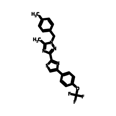 Cc1ccc(Cn2nc(-c3nc(-c4ccc(OC(F)(F)F)cc4)cs3)nc2C)cc1